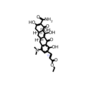 CCOC(=O)/C=C/c1cc(N(C)C)c2c(c1O)C(=O)C1=C(O)[C@]3(O)C(=O)C(C(N)=O)=C(O)C[C@@H]3C[C@@H]1C2